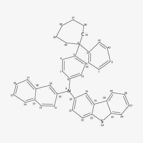 c1ccc(C2(c3ccc(N(c4ccc5ccccc5c4)c4ccc5sc6ccccc6c5c4)cc3)CCCCCC2)cc1